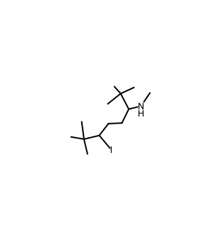 CNC(CCC(I)C(C)(C)C)C(C)(C)C